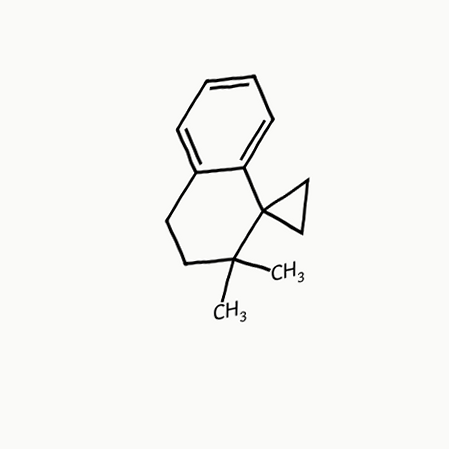 CC1(C)CCc2ccccc2C12CC2